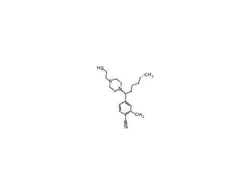 CCCCCC(c1ccc(C#N)c(C)c1)N1CCN(CCO)CC1